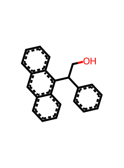 OCC(c1ccccc1)c1c2ccccc2cc2ccccc12